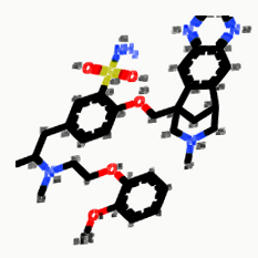 CCOc1ccccc1OCCN(C)C(C)Cc1ccc(OCC23CC(CN(C)C2)c2cc4nccnc4cc23)c(S(N)(=O)=O)c1